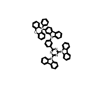 c1ccc(S2(c3ccc4c5ccccc5n(-c5cccc(-c6nc(-n7c8ccccc8c8ccccc87)nc(-n7c8ccccc8c8ccccc87)n6)c5)c4c3)c3ccccc3Oc3ccccc32)cc1